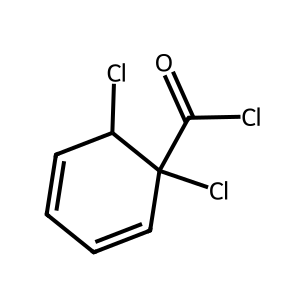 O=C(Cl)C1(Cl)C=CC=CC1Cl